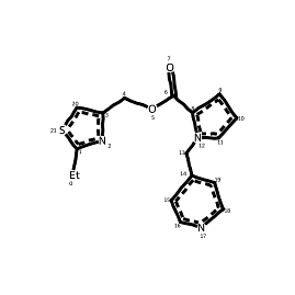 CCc1nc(COC(=O)c2cccn2Cc2ccncc2)cs1